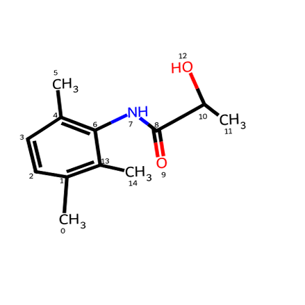 Cc1ccc(C)c(NC(=O)C(C)O)c1C